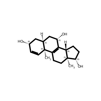 C[C@]12CCC3=C([C@@H](O)C[C@@H]4C[C@@H](O)C=C[C@]34C)[C@@H]1CC[C@@H]2O